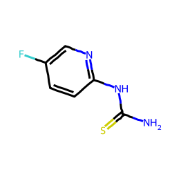 NC(=S)Nc1ccc(F)cn1